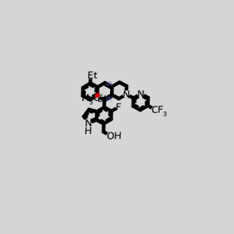 CCc1cccc(CC)c1/C=C1/CCN(c2ccc(C(F)(F)F)cn2)C/C1=C(/C)c1c(F)cc(CO)c2[nH]ccc12